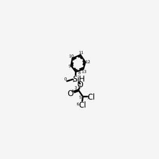 C[SiH](OC(=O)C(Cl)Cl)c1ccccc1